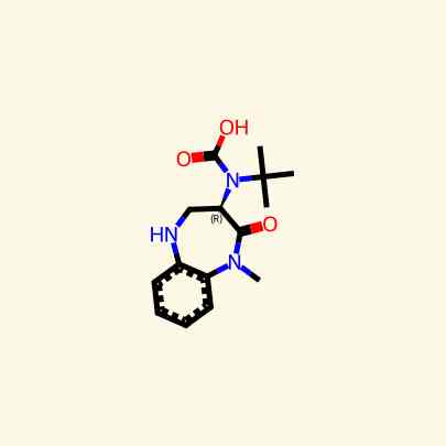 CN1C(=O)[C@H](N(C(=O)O)C(C)(C)C)CNc2ccccc21